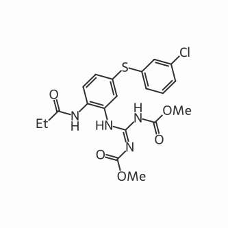 CCC(=O)Nc1ccc(Sc2cccc(Cl)c2)cc1NC(=NC(=O)OC)NC(=O)OC